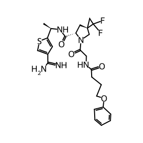 C[C@@H](NC(=O)[C@@H]1C[C@@]2(CN1C(=O)CNC(=O)CCCOc1ccccc1)CC2(F)F)c1cc(C(=N)N)cs1